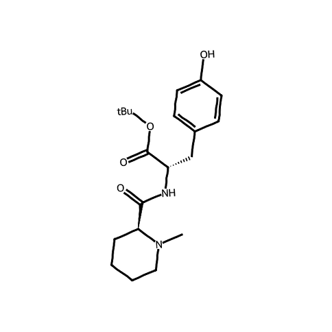 CN1CCCC[C@H]1C(=O)N[C@@H](Cc1ccc(O)cc1)C(=O)OC(C)(C)C